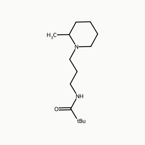 CC1CCCCN1CCCNC(=O)C(C)(C)C